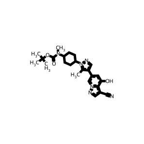 Cc1c(-c2cc(O)c3c(C#N)cnn3c2)cnn1C1CCC(N(C)C(=O)OC(C)(C)C)CC1